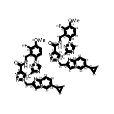 COc1ccc(-n2cnc(C(F)(F)F)n2)c(CNC(=O)c2cn(Cc3cn4cc(C5CC5)ccc4n3)nn2)c1F.COc1ccc(-n2cnc(C(F)(F)F)n2)c(CNC(=O)c2cn(Cc3cn4cc(C5CC5)ccc4n3)nn2)c1F